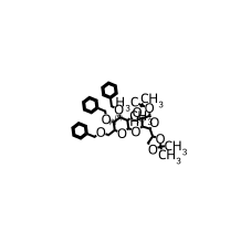 CC1C(OC2C(C3COC(C)(C)O3)OC3OC(C)(C)O[C@H]32)OC(COCc2ccccc2)[C@H](OCc2ccccc2)[C@H]1OCc1ccccc1